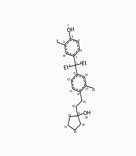 CCC(CC)(c1ccc(O)c(C)c1)c1ccc(CCC2(O)CCCC2)c(C)c1